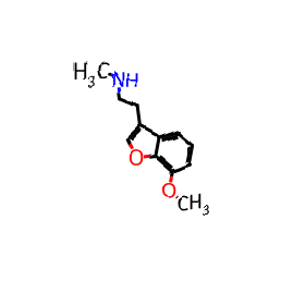 CNCCc1coc2c(OC)cccc12